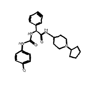 O=C(Nc1ccc(Cl)cc1)NC(C(=O)NC1CCN(C2CCCC2)CC1)c1ccccc1